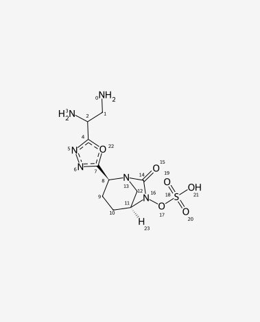 NCC(N)c1nnc([C@@H]2CC[C@H]3CN2C(=O)N3OS(=O)(=O)O)o1